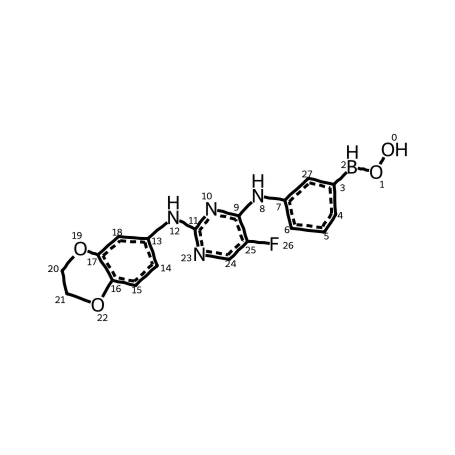 OOBc1cccc(Nc2nc(Nc3ccc4c(c3)OCCO4)ncc2F)c1